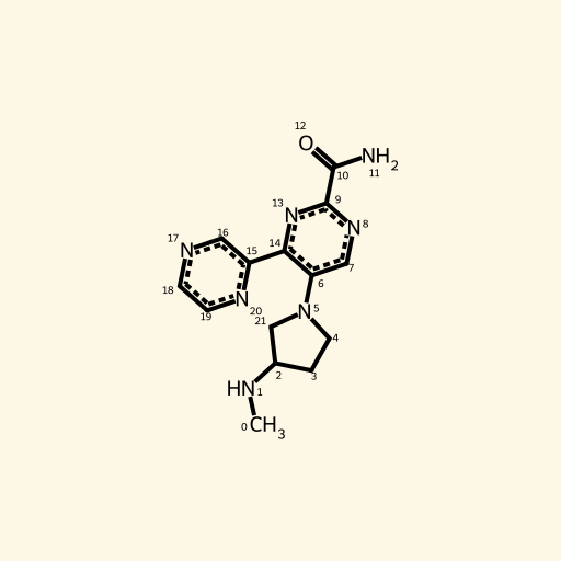 CNC1CCN(c2cnc(C(N)=O)nc2-c2cnccn2)C1